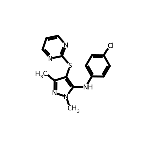 Cc1nn(C)c(Nc2ccc(Cl)cc2)c1Sc1ncccn1